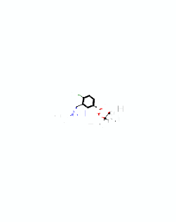 CC1(C)OB(c2ccc(Cl)c(CNC(=O)O)c2)OC1(C)C